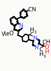 COc1c(CC2CCC(c3cnc(C(C)(C)O)cn3)C(C)C2)cnc2c(-c3ccc(C#N)cc3)cccc12